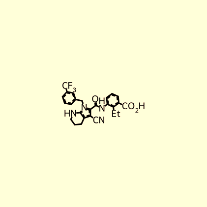 CCc1c(NC(=O)c2c(C#N)c3c(n2Cc2cccc(C(F)(F)F)c2)NCCC3)cccc1C(=O)O